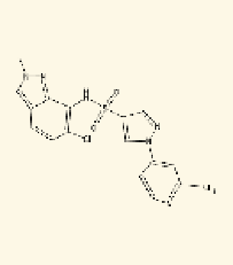 Cn1cc2ccc(Cl)c(NS(=O)(=O)c3cnn(-c4ccnc(C(F)(F)F)c4)c3)c2n1